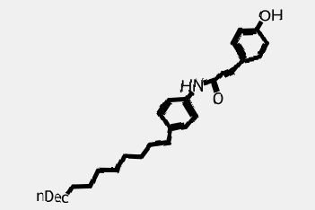 CCCCCCCCCCCCCCCCCCc1ccc(NC(=O)C=Cc2ccc(O)cc2)cc1